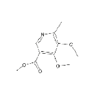 COC(=O)c1cnc(C)c(OC)c1OC